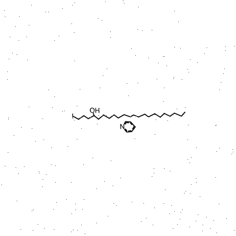 CCCCCCCCCCCCCCCCCCC(O)CCCI.c1ccncc1